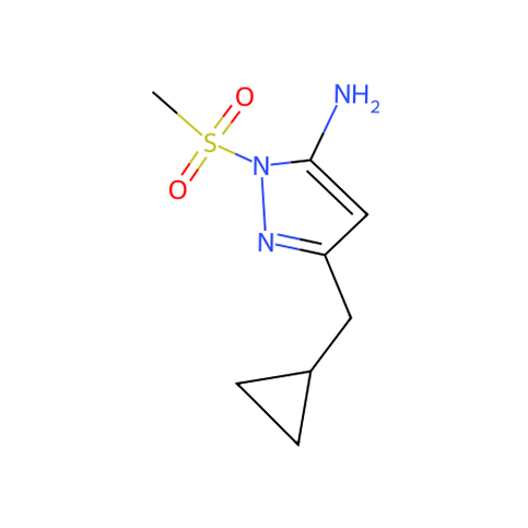 CS(=O)(=O)n1nc(CC2CC2)cc1N